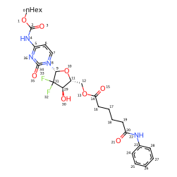 CCCCCCOC(=O)Nc1ccn([C@@H]2O[C@H](COC(=O)CCCCC(=O)Nc3ccccc3)[C@@H](O)C2(F)F)c(=O)n1